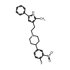 Cc1[nH]c(-c2ccccc2)cc1CCN1CCC(c2ccc(F)c([N+](=O)[O-])c2)CC1